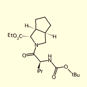 CCOC(=O)[C@@H]1[C@H]2CCC[C@H]2CN1C(=O)[C@@H](NC(=O)OC(C)(C)C)C(C)C